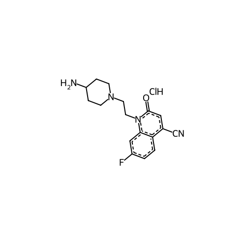 Cl.N#Cc1cc(=O)n(CCN2CCC(N)CC2)c2cc(F)ccc12